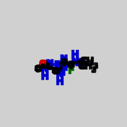 CN(C)CCNc1cc(F)cc(-c2cncc3[nH]c(-c4n[nH]c5ccc(-c6cncc(NC(=O)C7CCCCC7)c6)cc45)nc23)c1